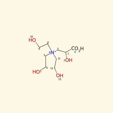 O=C(O)C(O)C[N+](CCO)(CCO)CCO